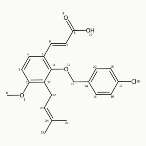 COc1ccc(/C=C/C(=O)O)c(OCc2ccc(Cl)cc2)c1CC=C(C)C